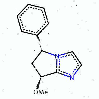 CO[C@H]1C[C@H](c2ccccc2)n2ccnc21